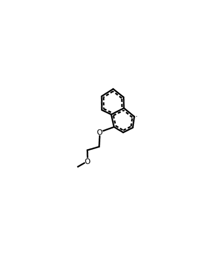 COCCOc1cc[c]c2ccccc12